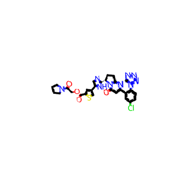 O=C(OCC(=O)N1CCCC1)c1cc(-c2cnc([C@@H]3CCc4nc(-c5cc(Cl)ccc5-n5cnnn5)cc(=O)n43)[nH]2)cs1